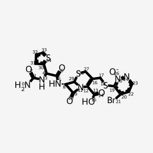 NC(=O)NC(C(=O)N[C@H]1C(=O)N2C(C(=O)O)=C(CSc3c(Br)ccn[n+]3[O-])CSC12)c1cccs1